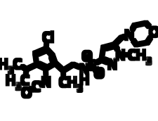 CC(C)c1cc(Cl)cc(C(C)CNS(=O)(=O)c2cc(CN3CCOCC3)n(C)n2)c1N=C=O